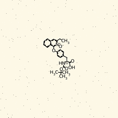 CCc1cc2ccccc2c(Oc2ccc(C[C@H](NC(=O)OC(C)(C)C)C(=O)O)cc2)[n+]1[O-]